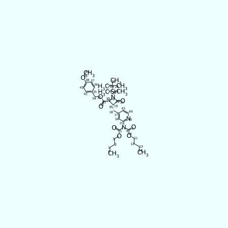 CCCCOC(=O)N(C(=O)OCCCC)c1cc(C[C@H]2C(=O)N([Si](C)(C)C(C)(C)C)[C@@H]2C(=O)OCc2ccc(OC)cc2)ccn1